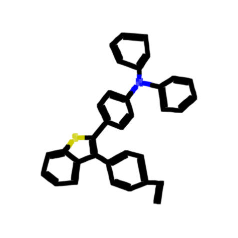 C=Cc1ccc(-c2c(-c3ccc(N(c4ccccc4)c4ccccc4)cc3)sc3ccccc23)cc1